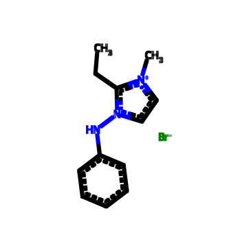 CCc1n(Nc2ccccc2)cc[n+]1C.[Br-]